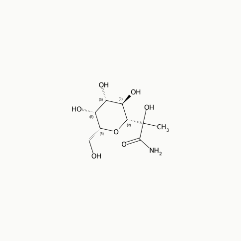 CC(O)(C(N)=O)[C@@H]1O[C@H](CO)[C@H](O)[C@H](O)[C@H]1O